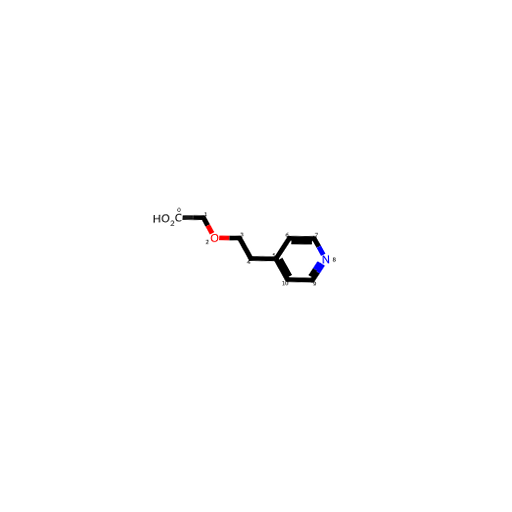 O=C(O)COCCc1ccncc1